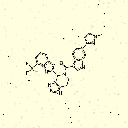 Cn1ccc(-c2ccc3c(C(=O)N4CCc5[nH]cnc5C4c4cc5cccc(C(F)(F)F)n5n4)cnn3c2)n1